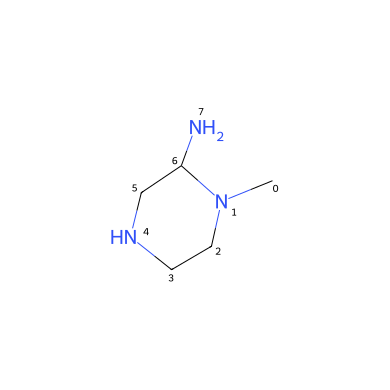 CN1CCNCC1N